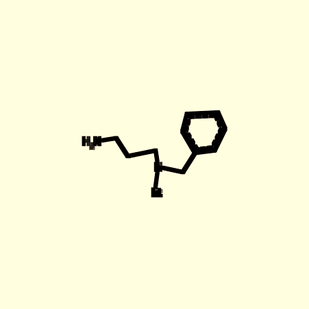 CCN(CCCN)Cc1ccccc1